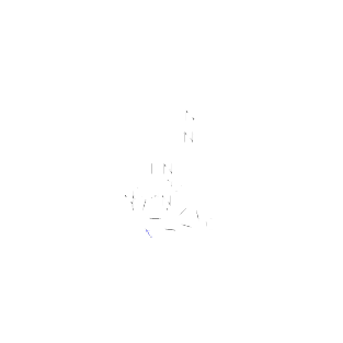 C=CC1=C(/C=C\C)c2c(C)noc2[C@H](CC(=O)NCCCN2CCN(C)CC2)N=C1c1ccc(Cl)cc1